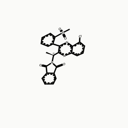 C[C@@H](c1nc2cccc(Cl)c2nc1-c1ccccc1S(C)(=O)=O)N1C(=O)c2ccccc2C1=O